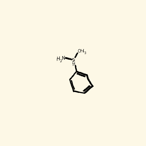 C[SiH](N)c1ccccc1